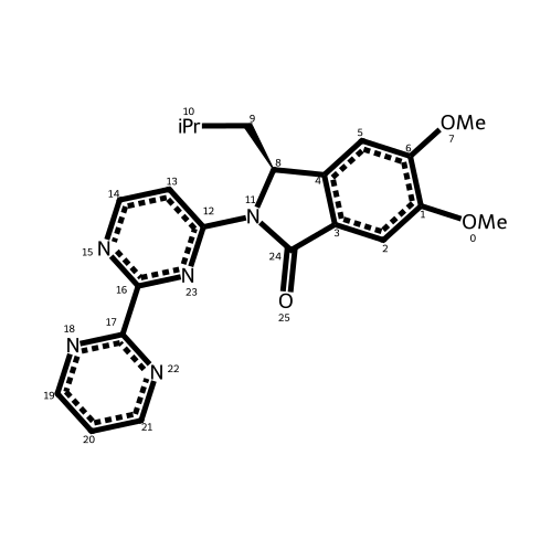 COc1cc2c(cc1OC)[C@H](CC(C)C)N(c1ccnc(-c3ncccn3)n1)C2=O